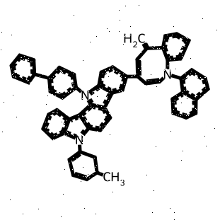 C=C1/C=C(c2ccc3c(c2)c2ccc4c(c5ccccc5n4C4=CC=CC(C)C4)c2n3-c2ccc(-c3ccccc3)cc2)\C=C/N(c2cccc3ccccc23)c2ccccc21